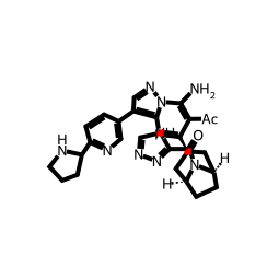 CC(=O)c1c([C@H]2C[C@H]3CC[C@@H](C2)N3C(=O)c2nnc[nH]2)nc2c(-c3ccc(C4CCCN4)nc3)cnn2c1N